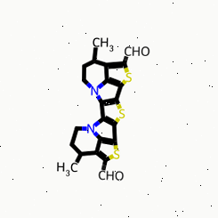 CC1CCn2c3c1c(C=O)sc3c1sc3c4sc(C=O)c5c4n(c3c12)CCC5C